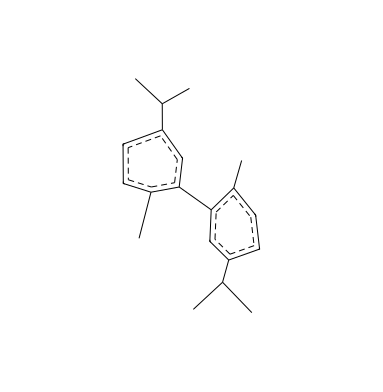 Cc1ccc(C(C)C)cc1-c1cc(C(C)C)ccc1C